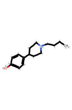 CCCCN1CCC(c2ccc(O)cc2)CC1